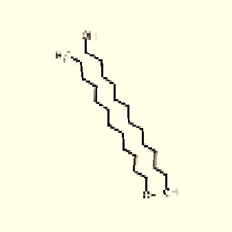 CCCCCCCCCCCCO.OCCCCCCCCCCCCO